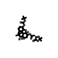 CN1CC[C@]23c4c5ccc(OC(=O)OC(C)(C)C)c4O[C@H]2C(OC(=O)C[C@@H]2OC(C)(C)OC2=O)=CC[C@@]3(O)[C@H]1C5